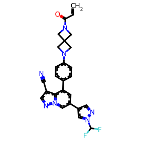 C=CC(=O)N1CC2(C1)CN(c1ccc(-c3cc(-c4cnn(C(F)F)c4)cn4ncc(C#N)c34)cc1)C2